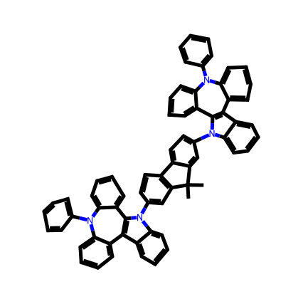 CC1(C)c2cc(-n3c4c(c5ccccc53)-c3ccccc3N(c3ccccc3)c3ccccc3-4)ccc2-c2ccc(-n3c4c(c5ccccc53)-c3ccccc3N(c3ccccc3)c3ccccc3-4)cc21